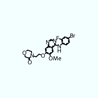 COc1cc2c(Nc3ccc(Br)cc3F)ncnc2cc1OCCN1CCOCC1=O